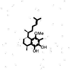 COc1c(C)c(O)c(O)c2c1[C@@H]([C@@H](C)CCC=C(C)C)CC[C@@H]2C